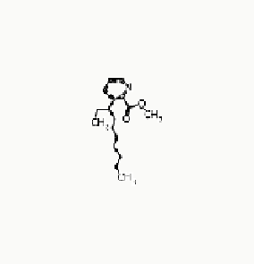 CCCCCCCC(CC)c1cccnc1C(=O)OC